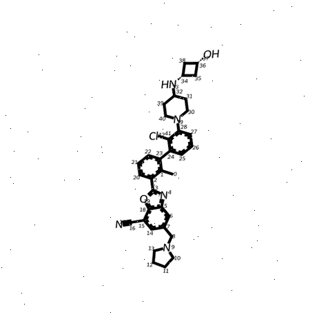 Cc1c(-c2nc3cc(CN4CCCC4)cc(C#N)c3o2)cccc1-c1cccc(N2CCC(N[C@H]3C[C@@H](O)C3)CC2)c1Cl